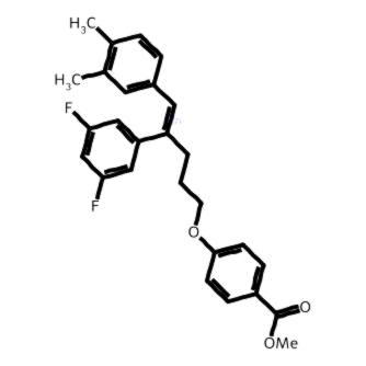 COC(=O)c1ccc(OCCC/C(=C/c2ccc(C)c(C)c2)c2cc(F)cc(F)c2)cc1